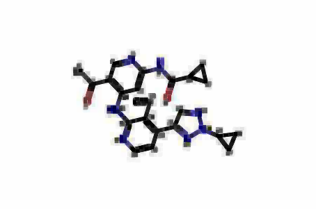 CCC(=O)c1cnc(NC(=O)C2CC2)cc1Nc1nccc(-c2cnn(C3CC3)n2)c1OC